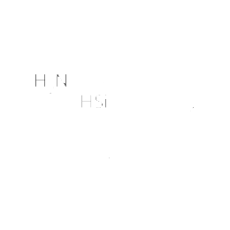 N[SiH]1CCCC1